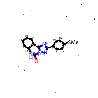 CSc1ccc(-c2nc3c4ccccc4[nH]c(=O)n3n2)cc1